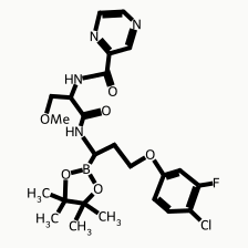 COCC(NC(=O)c1cnccn1)C(=O)NC(CCOc1ccc(Cl)c(F)c1)B1OC(C)(C)C(C)(C)O1